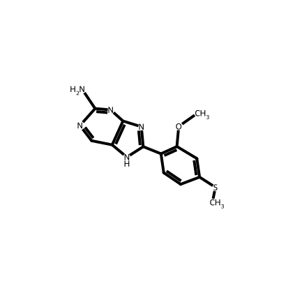 COc1cc(SC)ccc1-c1nc2nc(N)ncc2[nH]1